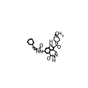 CN1CCN(C(=O)c2[nH]c3cc(NC(=O)[C@@H]4C[C@H]4c4ccccc4)cc4c3c2C=NNC4=O)CC1